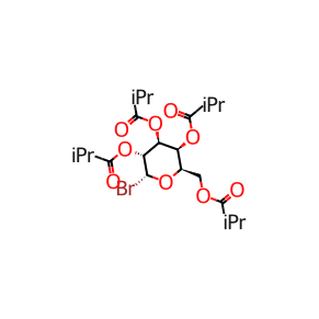 CC(C)C(=O)OC[C@H]1O[C@H](Br)[C@H](OC(=O)C(C)C)[C@@H](OC(=O)C(C)C)[C@H]1OC(=O)C(C)C